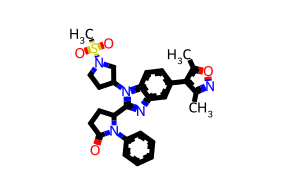 Cc1noc(C)c1-c1ccc2c(c1)nc(C1CCC(=O)N1c1ccccc1)n2C1CCN(S(C)(=O)=O)C1